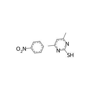 Cc1cc(C)nc(S)n1.O=[N+]([O-])c1ccccc1